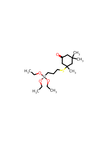 CCO[Si](CCCSC1(C)CC(=O)CC(C)(C)C1)(OCC)OCC